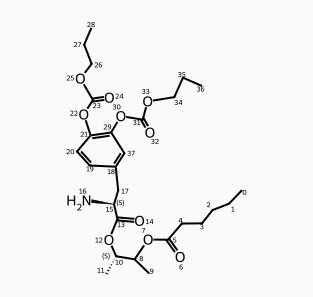 CCCCCC(=O)OC(C)[C@H](C)OC(=O)[C@@H](N)Cc1ccc(OC(=O)OCCC)c(OC(=O)OCCC)c1